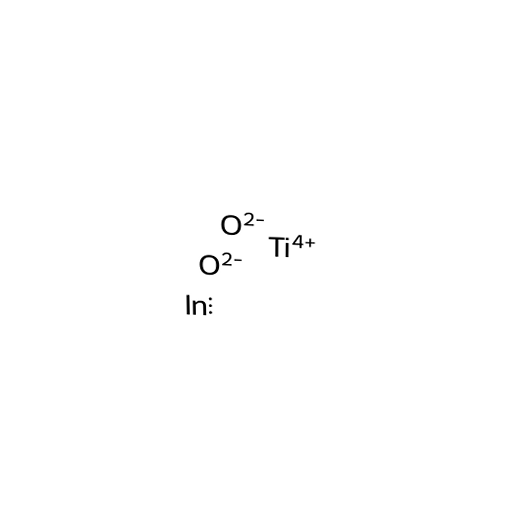 [In].[O-2].[O-2].[Ti+4]